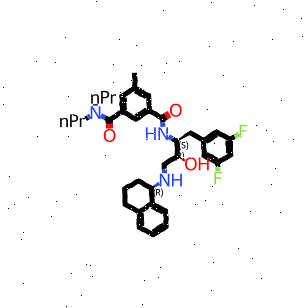 CCCN(CCC)C(=O)c1cc(C)cc(C(=O)N[C@@H](Cc2cc(F)cc(F)c2)[C@H](O)CN[C@@H]2CCCc3ccccc32)c1